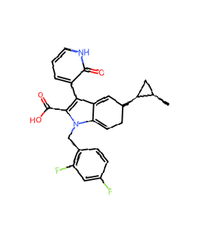 C[C@@H]1C[C@@H]1C1C=c2c(-c3ccc[nH]c3=O)c(C(=O)O)n(Cc3ccc(F)cc3F)c2=CC1